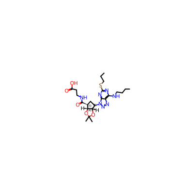 CCCCNc1nc(SCCC)nc2c1nnn2[C@@H]1C[C@H](C(=O)NCCC(=O)O)[C@H]2OC(C)(C)O[C@H]21